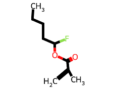 C=C(C)C(=O)OC(F)CCCC